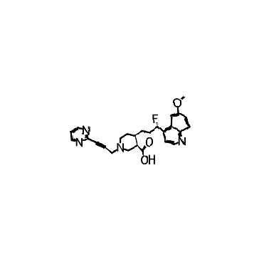 COc1ccc2nccc([C@@H](F)CC[C@@H]3CCN(CC#Cc4ncccn4)C[C@@H]3C(=O)O)c2c1